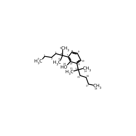 CCCCC(C)(C)c1cccc(C(C)(C)CCCC)c1O